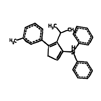 Cc1cccc(C2=C(C(C)C)C([SiH](c3ccccc3)c3ccccc3)=CC2)c1